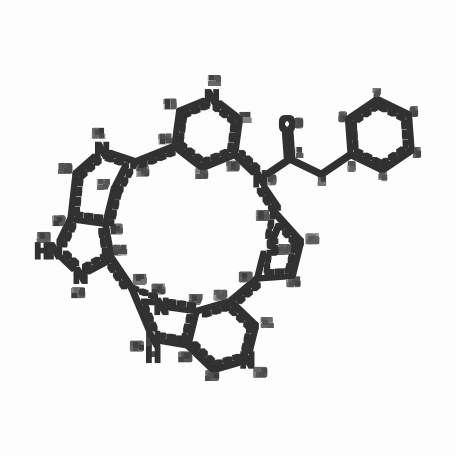 O=C(Cc1ccccc1)n1c2cncc(c2)c2cc3c(cn2)[nH]nc3c2nc3c(cncc3c3ccc1s3)[nH]2